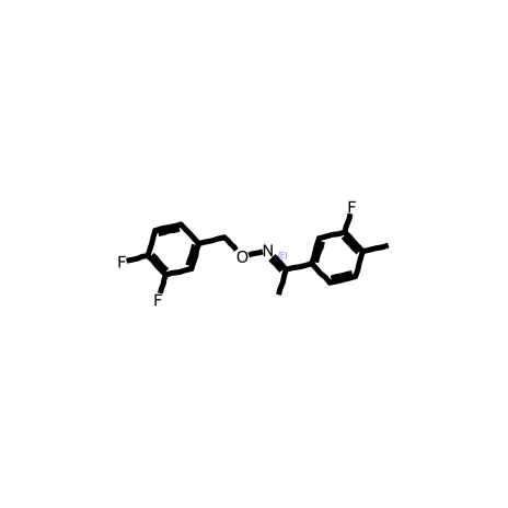 C/C(=N\OCc1ccc(F)c(F)c1)c1ccc(C)c(F)c1